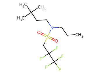 CCCN(CCC(C)(C)C)S(=O)(=O)CC(F)(F)C(F)(F)F